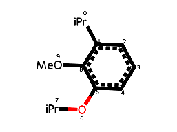 [CH2]C(C)c1cccc(OC(C)C)c1OC